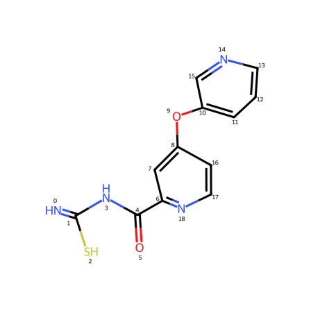 N=C(S)NC(=O)c1cc(Oc2cccnc2)ccn1